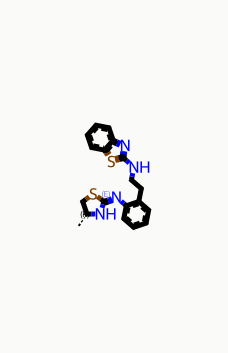 C[C@@H]1CS/C(=N/c2ccccc2CCNc2nc3ccccc3s2)N1